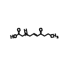 CCCC(=O)/C=C/CNCC(=O)O